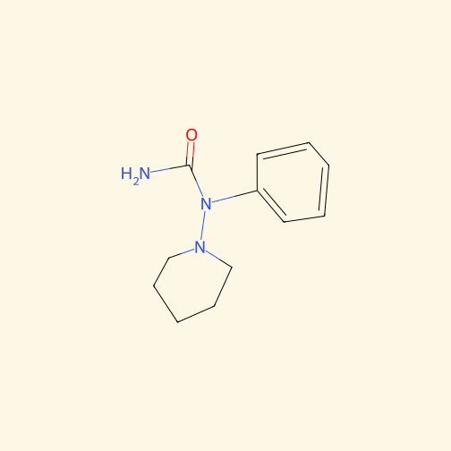 NC(=O)N(c1ccccc1)N1CCCCC1